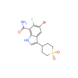 NC(=O)c1c(F)c(Br)cc2c(C3CCS(=O)(=O)CC3)c[nH]c12